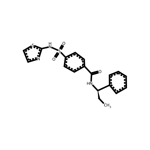 CC[C@@H](NC(=O)c1ccc(S(=O)(=O)Nc2nccs2)cc1)c1ccccc1